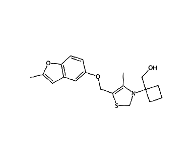 CC1=C(COc2ccc3oc(C)cc3c2)SCN1C1(CO)CCC1